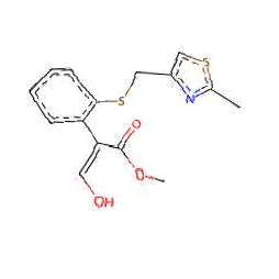 COC(=O)C(=CO)c1ccccc1SCc1csc(C)n1